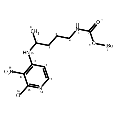 CC(CCCNC(=O)OC(C)(C)C)Nc1ccnc(Cl)c1[N+](=O)[O-]